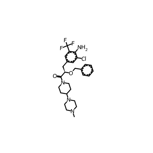 CN1CCN(C2CCN(C(=O)[C@@H](Cc3cc(Cl)c(N)c(C(F)(F)F)c3)OCc3ccccc3)CC2)CC1